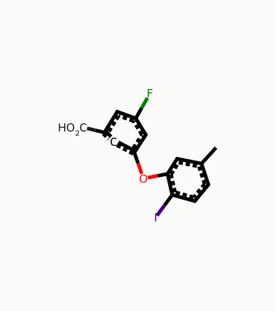 Cc1ccc(I)c(Oc2cc(F)cc(C(=O)O)c2)c1